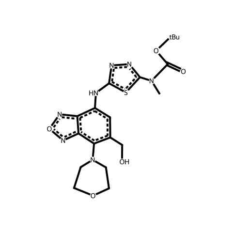 CN(C(=O)OC(C)(C)C)c1nnc(Nc2cc(CO)c(N3CCOCC3)c3nonc23)s1